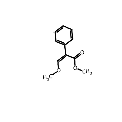 CO/C=C(\C(=O)OC)c1c[c]ccc1